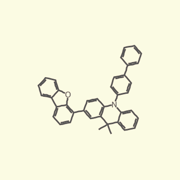 CC1(C)c2ccccc2N(c2ccc(-c3ccccc3)cc2)c2ccc(-c3cccc4c3oc3ccccc34)cc21